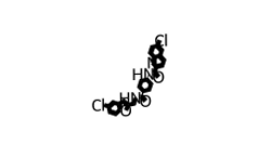 O=C(N[C@H]1CC[C@H](C(=O)NCc2cc3cc(Cl)ccc3o2)CC1)c1ccc2cc(Cl)ccc2n1